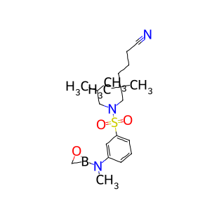 CC(C)CN(CC(C)(C)CCCC#N)S(=O)(=O)c1cccc(N(C)B2CO2)c1